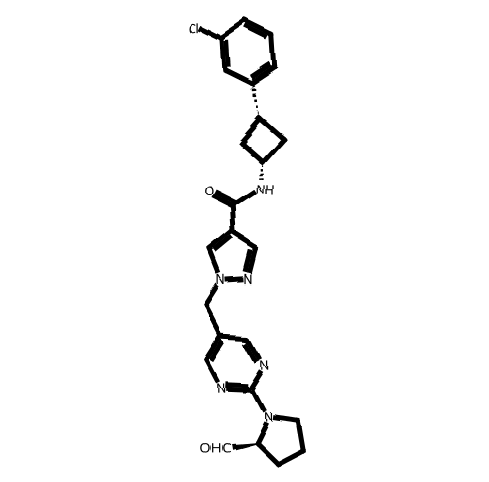 O=C[C@@H]1CCCN1c1ncc(Cn2cc(C(=O)N[C@H]3C[C@@H](c4cccc(Cl)c4)C3)cn2)cn1